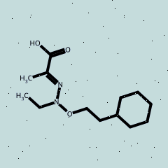 CCN(N=C(C)C(=O)O)OCCC1CCCCC1